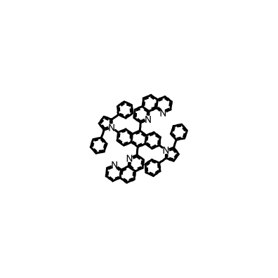 c1ccc(-c2ccc(-c3ccccc3)n2-c2ccc3c(-c4ccc5ccc6cccnc6c5n4)c4cc(-n5c(-c6ccccc6)ccc5-c5ccccc5)ccc4c(-c4ccc5ccc6cccnc6c5n4)c3c2)cc1